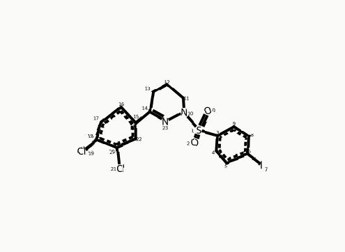 O=S(=O)(c1ccc(I)cc1)N1CCCC(c2ccc(Cl)c(Cl)c2)=N1